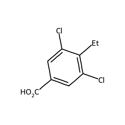 CCc1c(Cl)cc(C(=O)O)cc1Cl